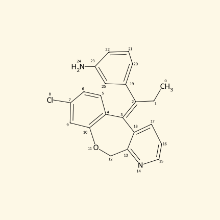 CCC(=C1c2ccc(Cl)cc2OCc2ncccc21)c1cccc(N)c1